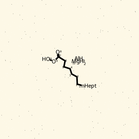 CCCCCCCCCCCCCC(=O)OO.[AlH3].[MgH2]